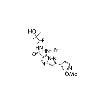 COc1cc(-c2cc3ncc(C(=O)NCC(F)C(C)(C)O)c(NC(C)C)n3n2)ccn1